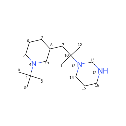 CC(C)(C)N1CCCC(CC(C)(C)N2CCCNC2)C1